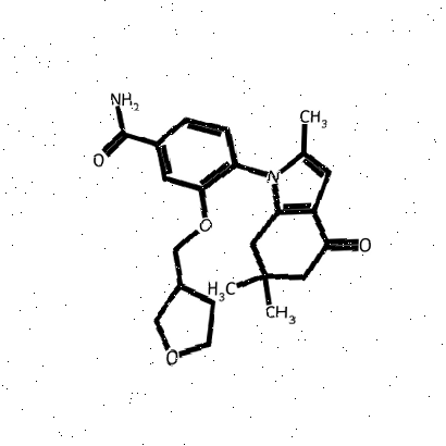 Cc1cc2c(n1-c1ccc(C(N)=O)cc1OCC1CCOC1)CC(C)(C)CC2=O